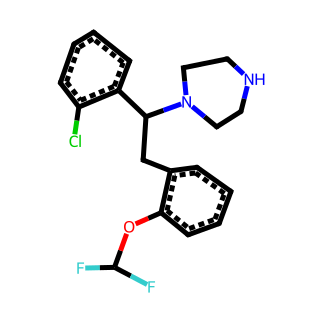 FC(F)Oc1ccccc1CC(c1ccccc1Cl)N1CCNCC1